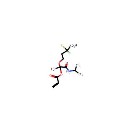 C=CC(=O)OC(OCCC(F)(F)S(=O)(=O)O)(C(=O)NC(C(F)(F)F)C(F)(F)F)C(F)(F)F